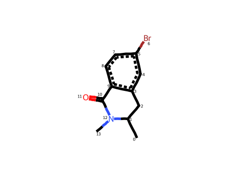 CC1Cc2cc(Br)ccc2C(=O)N1C